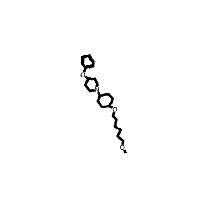 COCCCCCCOC1CCC(N2CCC(Oc3c[c]ccc3)CC2)CC1